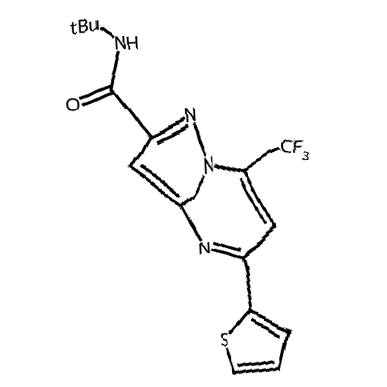 CC(C)(C)NC(=O)c1cc2nc(-c3cccs3)cc(C(F)(F)F)n2n1